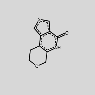 O=c1[nH]c2c(c3cscc13)CCOC2